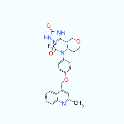 Cc1cc(COc2ccc(N(C(=O)C(F)(F)F)C3CCOCC3c3n[nH]c(=O)[nH]3)cc2)c2ccccc2n1